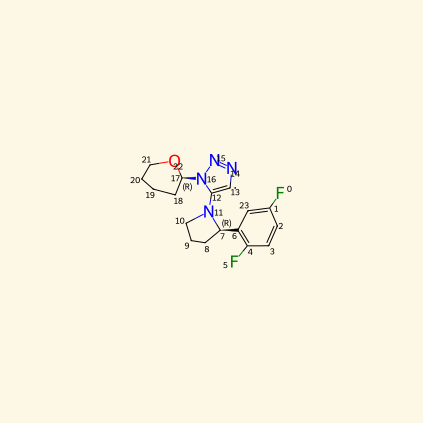 Fc1ccc(F)c([C@H]2CCCN2c2[c]nnn2[C@H]2CCCCO2)c1